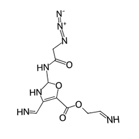 [N-]=[N+]=NCC(=O)NC1NC(C=N)=C(C(=O)OCC=N)O1